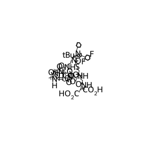 C[C@H](NC(=O)CCCC(=O)ON1C(=O)CCC1=O)C(=O)N[C@H](C)C(=O)N[C@@H](CC(=O)O)C(=O)NCCCN(C(=O)CSCCC(=O)NCCC(=O)N[C@@H](CCC(=O)O)C(=O)O)[C@@H](c1cc(-c2cc(F)ccc2F)cn1Cc1ccccc1)C(C)(C)C